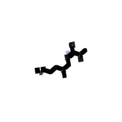 CN/C(Cl)=N\CN(C)CCN